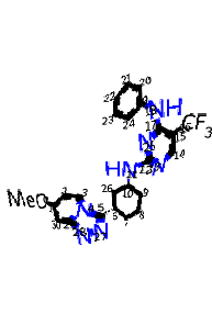 COc1ccn2c([C@H]3CCC[C@@H](Nc4ncc(C(F)(F)F)c(Nc5ccccc5)n4)C3)nnc2c1